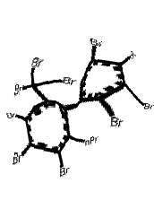 CCCc1c(Br)c(Br)c(Br)c(C(Br)(Br)Br)c1-c1cc(Br)c(Br)c(Br)c1Br